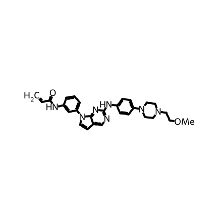 C=CC(=O)Nc1cccc(-n2ccc3cnc(Nc4ccc(N5CCN(CCOC)CC5)cc4)nc32)c1